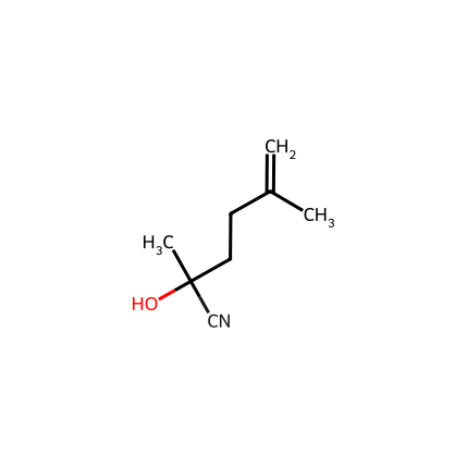 C=C(C)CCC(C)(O)C#N